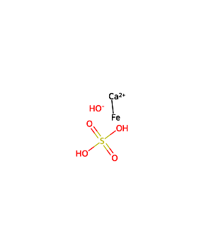 O=S(=O)(O)O.[Ca+2][Fe].[OH-]